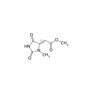 COC(=O)/C=C1/C(=O)NC(=O)N1C